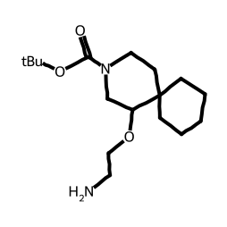 CC(C)(C)OC(=O)N1CCC2(CCCCC2)C(OCCN)C1